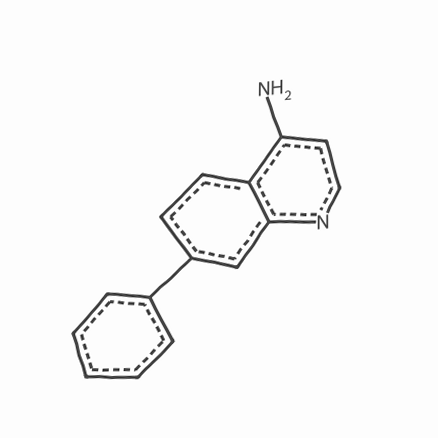 Nc1ccnc2cc(-c3ccccc3)ccc12